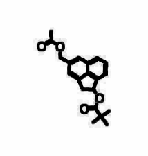 CC(=O)OCc1cc2c3c(cccc3c1)C(OC(=O)C(C)(C)C)C2